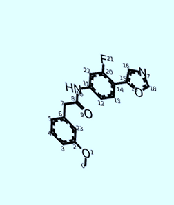 COc1cccc(CC(=O)Nc2ccc(-c3cnco3)c(F)c2)c1